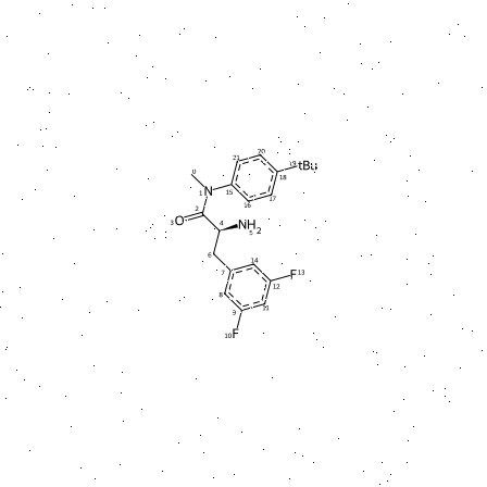 CN(C(=O)[C@@H](N)Cc1cc(F)cc(F)c1)c1ccc(C(C)(C)C)cc1